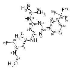 C=C/N=C(\C=C(/C)Nc1nc(NC(C)C)nc(-c2cccc(C(F)(F)F)n2)n1)CF